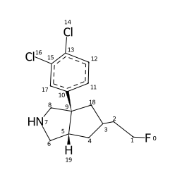 FCCC1C[C@@H]2CNC[C@]2(c2ccc(Cl)c(Cl)c2)C1